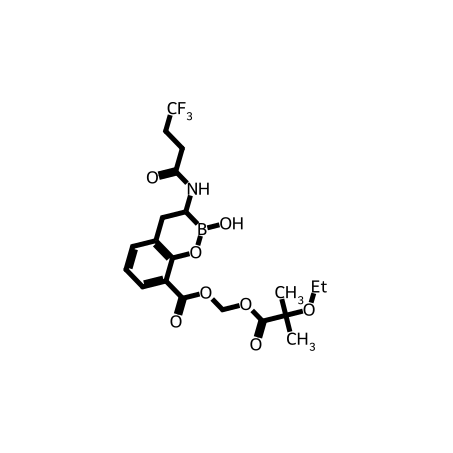 CCOC(C)(C)C(=O)OCOC(=O)c1cccc2c1OB(O)C(NC(=O)CCC(F)(F)F)C2